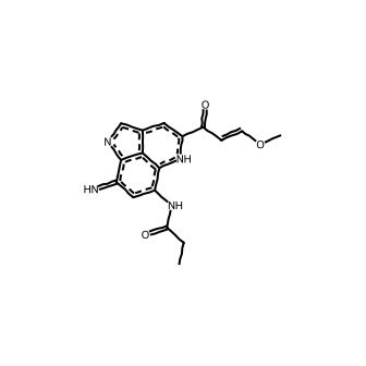 CCC(=O)Nc1cc(=N)c2ncc3cc(C(=O)C=COC)[nH]c1c32